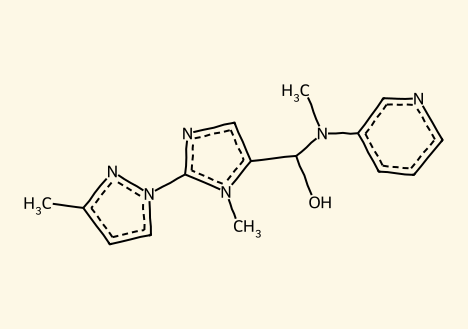 Cc1ccn(-c2ncc(C(O)N(C)c3cccnc3)n2C)n1